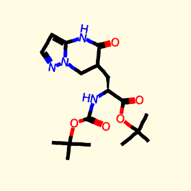 CC(C)(C)OC(=O)N[C@@H](CC1Cn2nccc2NC1=O)C(=O)OC(C)(C)C